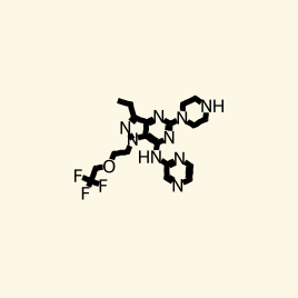 CCc1nn(CCOCC(F)(F)F)c2c(Nc3cnccn3)nc(N3CCNCC3)nc12